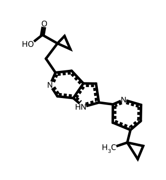 CC1(c2ccnc(-c3cc4cc(CC5(C(=O)O)CC5)ncc4[nH]3)c2)CC1